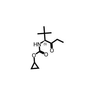 CCC(=O)[C@@H](NC(=O)OC1CC1)C(C)(C)C